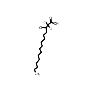 CCCCCCCCCCCCCC(Cl)C(Cl)(Cl)C(=O)O